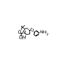 CC(C)(C)C1CC(Oc2cccc(N)c2)CCN1C(=O)O